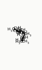 CC(C)(C)CCC(C)(C)C(=O)NC(C)(C)CCOC(C)(C)CCNC(=O)OC(C)(C)C